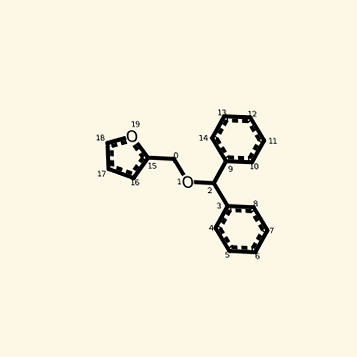 [CH](OC(c1ccccc1)c1ccccc1)c1ccco1